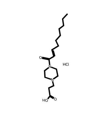 CCCCCCCC=CC(=O)N1CCN(CCC(=O)O)CC1.Cl